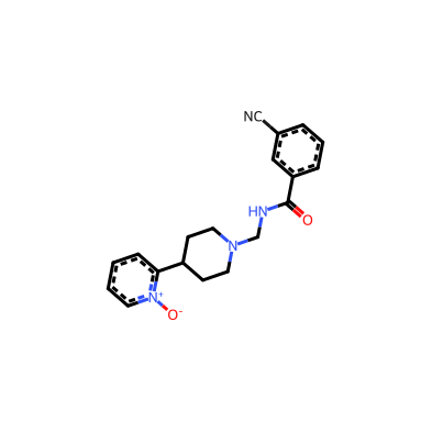 N#Cc1cccc(C(=O)NCN2CCC(c3cccc[n+]3[O-])CC2)c1